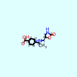 C[C@H](NC[C@H]1CNC(=O)O1)c1ccc(C(=O)O)cc1